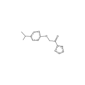 CC(C)c1ccc(OCC(=O)c2nccs2)cc1